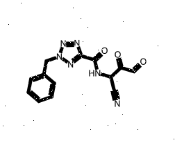 N#CC(NC(=O)c1nnn(Cc2ccccc2)n1)C(=O)C=O